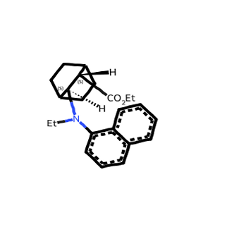 CCOC(=O)[C@H]1C2CCC(CC2)[C@@H]1N(CC)c1cccc2ccccc12